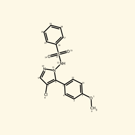 COc1ccc(-c2c(Cl)cnn2NS(=O)(=O)c2ccccc2)cc1